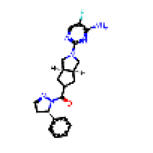 Nc1nc(N2C[C@H]3CC(C(=O)N4N=CC[C@H]4c4ccccc4)C[C@H]3C2)ncc1F